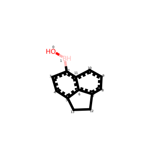 OBc1ccc2c3c(cccc13)CC2